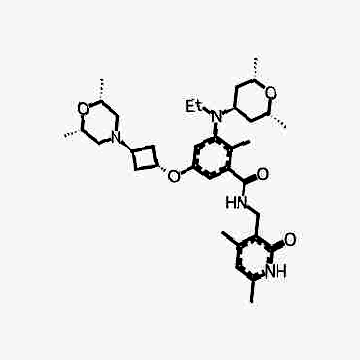 CCN(c1cc(O[C@H]2C[C@H](N3C[C@@H](C)O[C@@H](C)C3)C2)cc(C(=O)NCc2c(C)cc(C)[nH]c2=O)c1C)[C@@H]1C[C@@H](C)O[C@@H](C)C1